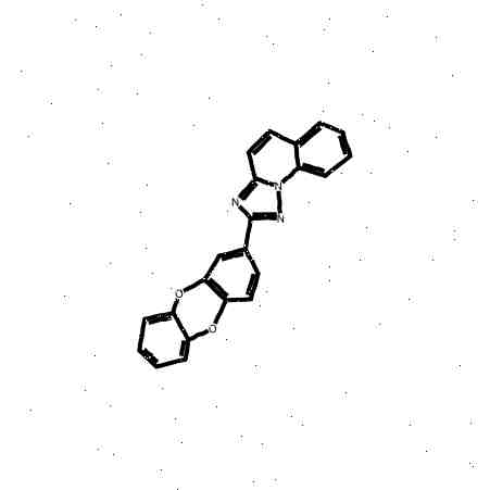 c1ccc2c(c1)Oc1ccc(-c3nc4ccc5ccccc5n4n3)cc1O2